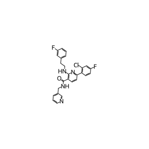 O=C(NCc1cccnc1)c1ccc(-c2ccc(F)cc2Cl)nc1NCCc1cccc(F)c1